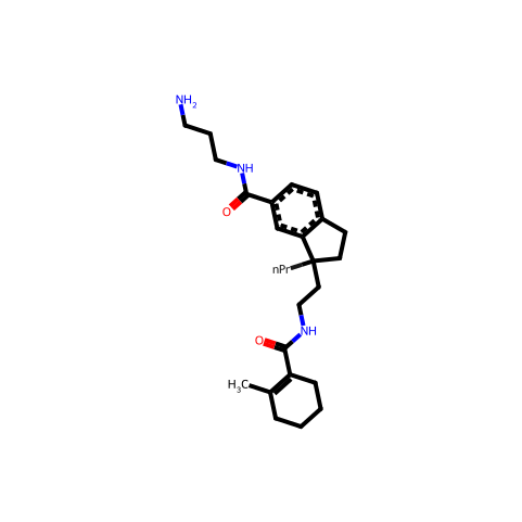 CCCC1(CCNC(=O)C2=C(C)CCCC2)CCc2ccc(C(=O)NCCCN)cc21